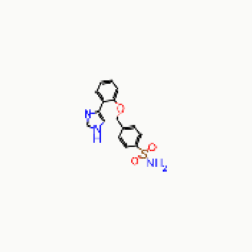 NS(=O)(=O)c1ccc(COc2ccccc2-c2c[nH]cn2)cc1